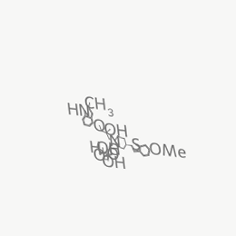 COc1ccc2cc([C@@H]3CCN(C[C@H](O)COc4cccc5[nH]c(C)cc45)[C@@H](C)C3)sc2c1.O=C(O)C(=O)O